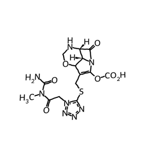 CN(C(N)=O)C(=O)Cn1nnnc1SCC1=C(OC(=O)O)N2C(=O)[C@H]3NCOC1[C@H]32